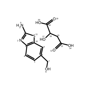 Nc1nc2ccc(CO)cc2s1.O=C(O)CC(O)C(=O)O